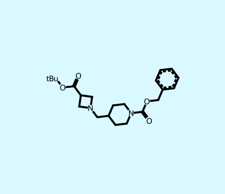 CC(C)(C)OC(=O)C1CN(CC2CCN(C(=O)OCc3ccccc3)CC2)C1